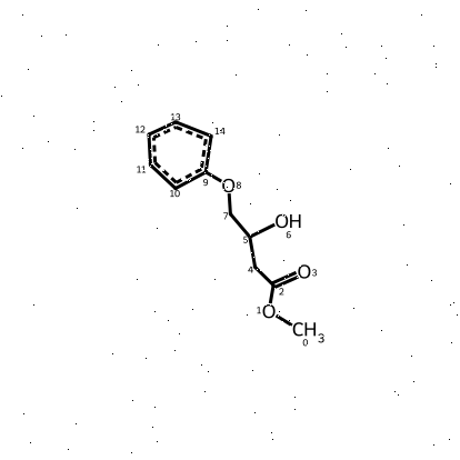 COC(=O)CC(O)COc1ccccc1